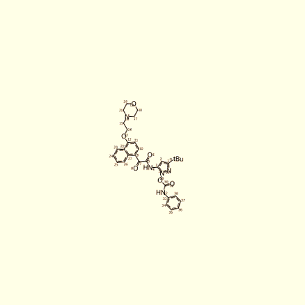 CC(C)(C)c1cc(NC(=O)C(=O)c2ccc(OCCN3CCOCC3)c3ccccc23)n(OC(=O)Nc2ccccc2)n1